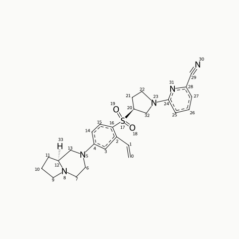 C=Cc1cc(N2CCN3CCC[C@H]3C2)ccc1S(=O)(=O)[C@H]1CCN(c2cccc(C#N)n2)C1